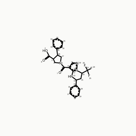 O=C(O)C1CN(C(=O)c2cnn3c2NC(c2ccccc2)CC3C(F)(F)F)CC1c1ccccc1